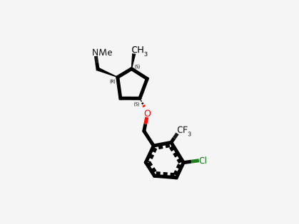 CNC[C@@H]1C[C@@H](OCc2cccc(Cl)c2C(F)(F)F)C[C@@H]1C